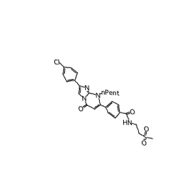 CCCCCn1c(-c2ccc(C(=O)NCCS(C)(=O)=O)cc2)cc(=O)n2cc(-c3ccc(Cl)cc3)nc12